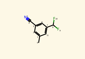 Cc1cc(C#N)cc(C(F)F)c1